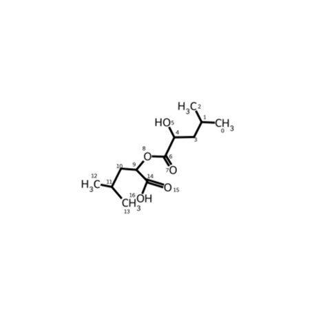 CC(C)CC(O)C(=O)OC(CC(C)C)C(=O)O